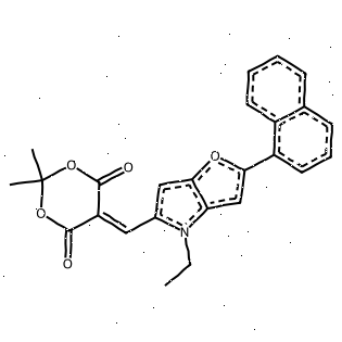 CCn1c(C=C2C(=O)OC(C)(C)OC2=O)cc2oc(-c3cccc4ccccc34)cc21